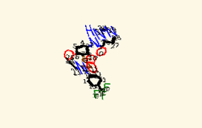 O=C(Nc1ccc2c(c1)S(=O)(=O)N(c1ccc(C(F)(F)F)cc1)CCO2)c1ccncn1